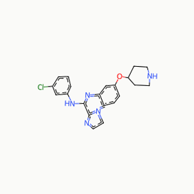 Clc1cccc(Nc2nc3cc(OC4CCNCC4)ccc3n3ccnc23)c1